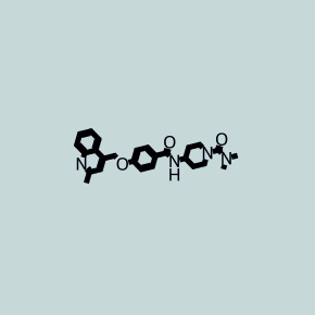 Cc1cc(COc2ccc(C(=O)NC3CCN(C(=O)N(C)C)CC3)cc2)c2ccccc2n1